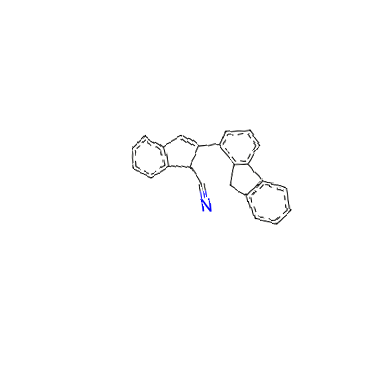 N#CC1C(c2cccc3c2Cc2ccccc2-3)=Cc2ccccc21